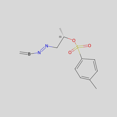 C=BN=NC[C@H](C)OS(=O)(=O)c1ccc(C)cc1